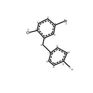 Clc1ccc(Br)cc1Cc1ccc(I)cc1